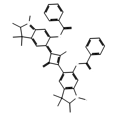 CC(C)N1c2cc(NC(=O)c3ccccc3)c(C3=C(O)/C(=c4/cc5c(cc4NC(=O)c4ccccc4)=[N+](C(C)C)C(C)C5(C)C)C3=O)cc2C(C)(C)C1C